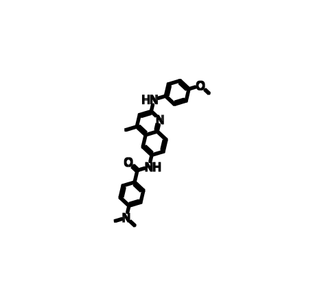 COc1ccc(Nc2cc(C)c3cc(NC(=O)c4ccc(N(C)C)cc4)ccc3n2)cc1